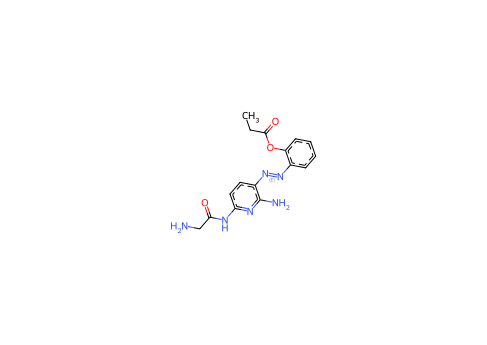 CCC(=O)Oc1ccccc1/N=N/c1ccc(NC(=O)CN)nc1N